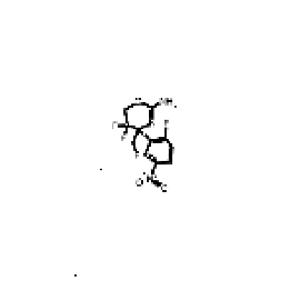 NC1=NC(CF)(c2cc([N+](=O)[O-])ccc2F)C(F)(F)CO1